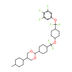 CC1CCC(C2COC(C3CCC(C(F)(F)OC4CCC(C(F)(F)Oc5cc(F)c(F)c(F)c5)CC4)CC3)OC2)CC1